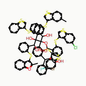 Cc1ccc2scc(Sc3ccccc3C(O)C(OC(O)c3ccccc3Sc3csc4ccc(Cl)cc34)(c3cccc(C(CCO)c4ccccc4Br)c3Sc3csc4ccc(F)cc34)C(O)(c3ccccc3Sc3csc4ccccc34)C(O)c3ccccc3Sc3c(C)oc4ccccc34)c2c1